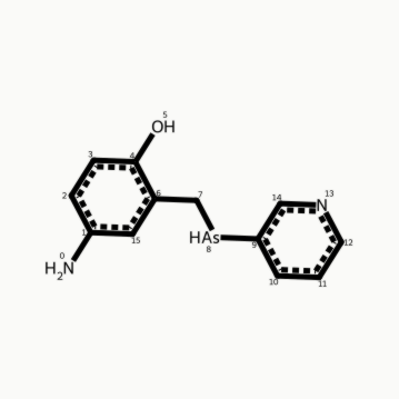 Nc1ccc(O)c(C[AsH]c2cccnc2)c1